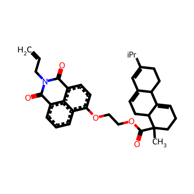 C=CCN1C(=O)c2cccc3c(OCCOC(=O)C4(C)CCC=C5C6CCC(C(C)C)=CC6=CCC54)ccc(c23)C1=O